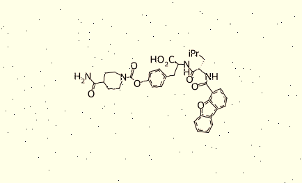 CC(C)C[C@H](NC(=O)c1cccc2c1oc1ccccc12)C(=O)N[C@@H](Cc1ccc(OC(=O)N2CCC(C(N)=O)CC2)cc1)C(=O)O